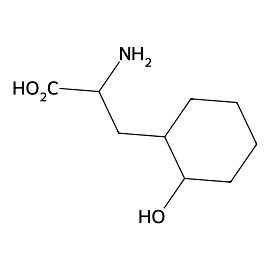 NC(CC1CCCCC1O)C(=O)O